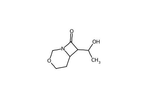 CC(O)C1C(=O)N2COCCC12